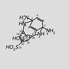 CC1=CC2(N)C=CC1(N)Nc1cc(S(=O)(=O)O)cc(c1S(=O)(=O)O)N2